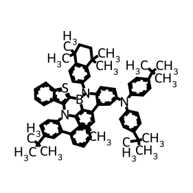 Cc1cc2c3c(c1)N(c1ccc(C(C)(C)C)cc1-c1ccccc1)c1c(sc4ccccc14)B3N(c1ccc3c(c1)C(C)(C)CCC3(C)C)c1ccc(N(c3ccc(C(C)(C)C)cc3)c3ccc(C(C)(C)C)cc3)cc1-2